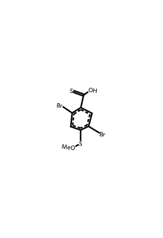 COSc1cc(Br)c(C(O)=S)cc1Br